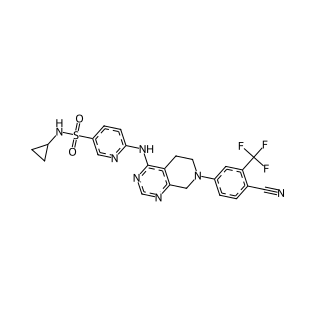 N#Cc1ccc(N2CCc3c(ncnc3Nc3ccc(S(=O)(=O)NC4CC4)cn3)C2)cc1C(F)(F)F